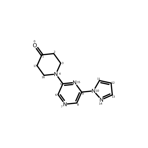 O=C1CCN(c2cncc(-n3cccn3)n2)CC1